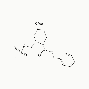 CO[C@@H]1CC[C@H](C(=O)OCc2ccccc2)[C@H](COS(C)(=O)=O)C1